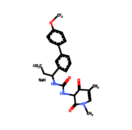 CC1=CN(C)C(=O)C(NC(=O)NC(CC(=O)O)c2cccc(-c3ccc(OC(F)(F)F)cc3)c2)C1=O.[NaH]